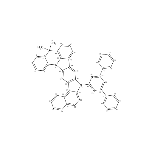 CC1(C)c2ccccc2-n2c3cc4c5c6ccccc6ccc5n(-c5nc(-c6ccccc6)cc(-c6ccccc6)n5)c4cc3c3cccc1c32